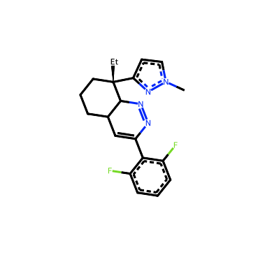 CC[C@]1(c2ccn(C)n2)CCCC2C=C(c3c(F)cccc3F)N=NC21